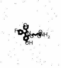 NS(=O)(=O)CCCOc1nc(C2CCOCC2)c(-c2ccc(F)cc2)c2ccc(O)cc12